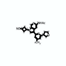 CC(=O)Nc1cc2c(-c3cc(C)cc(C4CCOC4)n3)cn(C3CC(C#N)C3)c2cn1